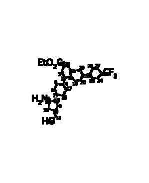 CCOC(=O)c1cc(-c2ccc([C@@H]3C[C@@H](CO)C[C@H]3N)cc2)c2ccc(-c3ccc(C(F)(F)F)cc3)cc2c1